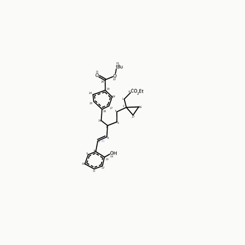 CCOC(=O)CC1(CCC(/C=C/c2ccccc2O)Cc2ccc(C(=O)OC(C)(C)C)cc2)CC1